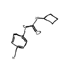 O=C(NC1CCC1)Sc1ccc(Br)cc1